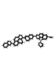 N#Cc1cc2ccc3cc(-c4ccc5cc(-c6ccc7ccc8c(-c9ccc%10ccccc%10c9)ccc9ccc6c7c98)ccc5c4)cc4c3c2c(c1)n4-c1ccccc1